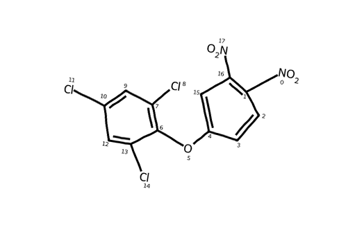 O=[N+]([O-])c1ccc(Oc2c(Cl)cc(Cl)cc2Cl)cc1[N+](=O)[O-]